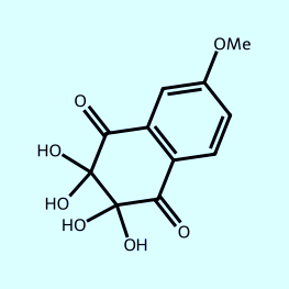 COc1ccc2c(c1)C(=O)C(O)(O)C(O)(O)C2=O